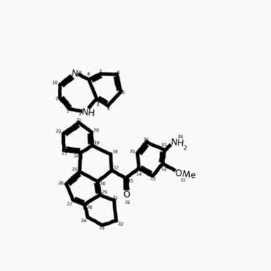 C1=CNc2ccccc2N=C1.COc1cc(C(=O)C2Cc3ccccc3-c3ccc4c(c32)CCCC4)ccc1N